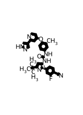 Cc1cc(NC(=O)Nc2cc(C(C)(C)C)nn2-c2ccc(C#N)c(F)c2)ccc1Oc1ccnc(-c2cn[nH]c2)c1